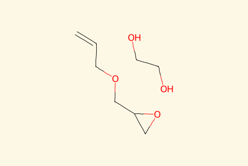 C=CCOCC1CO1.OCCO